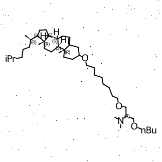 CCCCOC[C@H](COCCCCCCCCOC1CC[C@@]2(C)C(=CC[C@H]3[C@@H]4CC[C@H]([C@H](C)CCCC(C)C)[C@@]4(C)CC[C@@H]32)C1)N(C)C